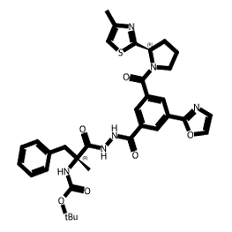 Cc1csc([C@H]2CCCN2C(=O)c2cc(C(=O)NNC(=O)[C@@](C)(Cc3ccccc3)NC(=O)OC(C)(C)C)cc(-c3ncco3)c2)n1